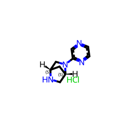 Cl.c1cnc(N2C[C@@H]3C[C@H]2CN3)cn1